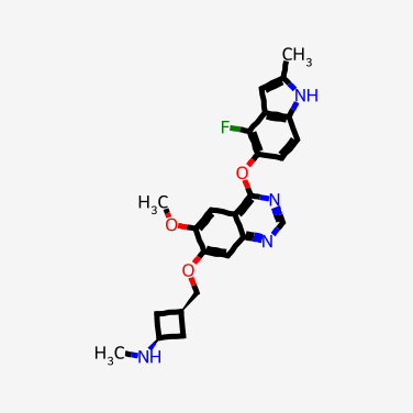 CN[C@H]1C[C@@H](COc2cc3ncnc(Oc4ccc5[nH]c(C)cc5c4F)c3cc2OC)C1